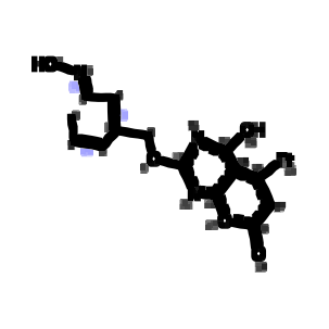 C\C=C/C(=C\C=N\O)COc1nc(O)c2c(CC)cc(=O)oc2n1